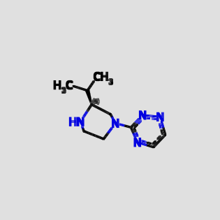 CC(C)[C@H]1CN(c2nccnn2)CCN1